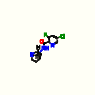 O=C(N[C@@H]1CC2CCN(CC2)C1)c1ncc(Cl)cc1F